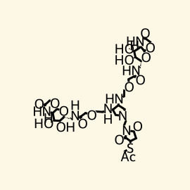 CC(=O)CSC1CC(=O)N(CCN2CC(NCCOCC(=O)NC[C@H]3OC4OCC(=O)N[C@@H]4[C@@H](O)[C@H]3O)C(NCCOCC(=O)NC[C@H]3OC4OCC(=O)N[C@@H]4[C@@H](O)[C@H]3O)C2)C1=O